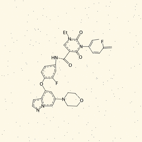 C=C(F)/C=C\C(=C/C)n1c(=O)c(C(=O)Nc2ccc(Oc3cc(N4CCOCC4)cn4nccc34)c(F)c2)cn(CC)c1=O